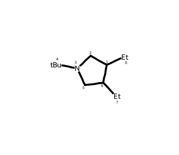 CCC1CN(C(C)(C)C)CC1CC